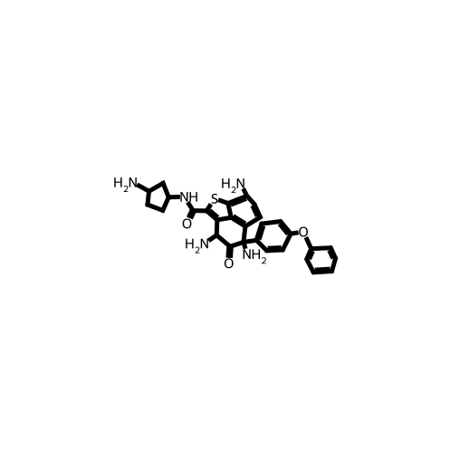 Nc1ccc2c3c(c(C(=O)NC4CCC(N)C4)sc13)C(N)C(=O)C2(N)c1ccc(Oc2ccccc2)cc1